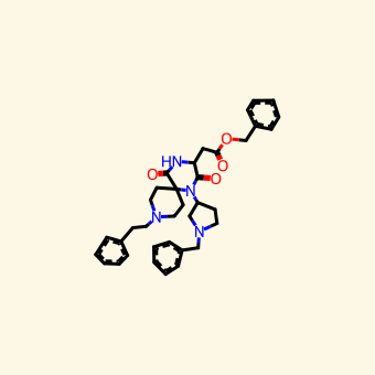 O=C(CC1NC(=O)C2(CCN(CCc3ccccc3)CC2)N(C2CCN(Cc3ccccc3)C2)C1=O)OCc1ccccc1